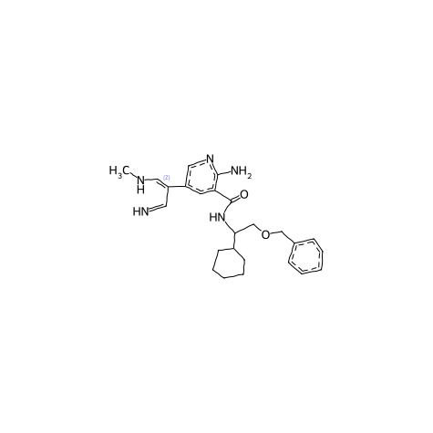 CN/C=C(\C=N)c1cnc(N)c(C(=O)NC(COCc2ccccc2)C2CCCCC2)c1